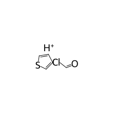 O=CCl.[H+].c1ccsc1